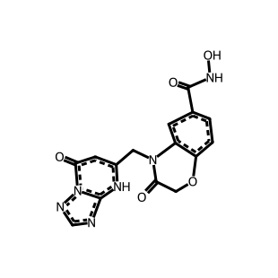 O=C(NO)c1ccc2c(c1)N(Cc1cc(=O)n3ncnc3[nH]1)C(=O)CO2